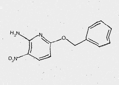 Nc1nc(OCc2ccccc2)ccc1[N+](=O)[O-]